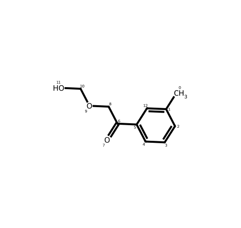 Cc1cccc(C(=O)COCO)c1